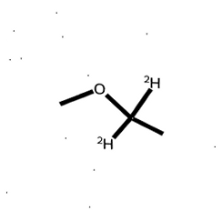 [2H]C([2H])(C)OC